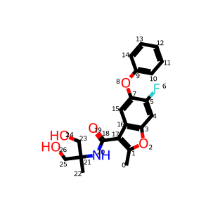 Cc1oc2cc(F)c(Oc3ccccc3)cc2c1C(=O)NC(C)(CO)CO